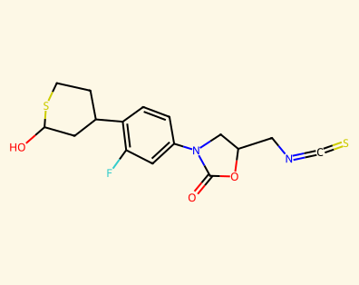 O=C1OC(CN=C=S)CN1c1ccc(C2CCSC(O)C2)c(F)c1